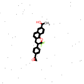 CC(O)c1ccc2c3c(ccc2c1)CC(c1ccc(C2CO2)cc1)C(F)(F)O3